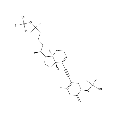 C=C1CC(C)=C(C#CC2=CCC[C@]3(C)[C@@H]([C@@H](C)CCCC(C)(C)O[Si](CC)(CC)CC)CC[C@@H]23)C[C@H]1O[Si](C)(C)C(C)(C)C